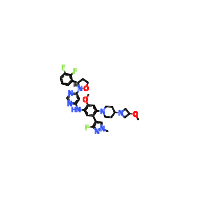 COc1cc(N2CCC(N3CC(OC)C3)CC2)c(-c2cn(C)nc2F)cc1Nc1cc(N2OCC[C@@H]2c2cccc(F)c2F)ncn1